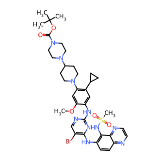 COc1cc(N2CCC(N3CCN(C(=O)OC(C)(C)C)CC3)CC2)c(C2CC2)cc1Nc1ncc(Br)c(Nc2ccc3nccnc3c2NS(C)(=O)=O)n1